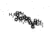 Cc1cc(N(c2ccccc2)c2ccc3cc4c(cc3c2)oc2cc3oc5cc6cc(N(c7ccccc7)c7cc(C)c(C)c(C)c7)ccc6cc5c3c(C)c24)cc(C)c1C